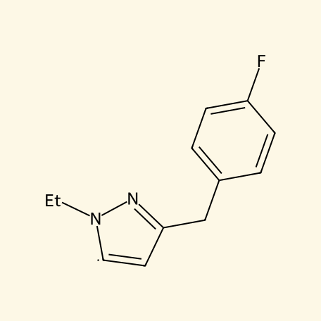 CCn1[c]cc(Cc2ccc(F)cc2)n1